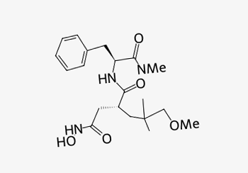 CNC(=O)[C@H](Cc1ccccc1)NC(=O)[C@@H](CC(=O)NO)CC(C)(C)COC